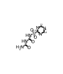 NC(=O)NC(=O)NS(=O)(=O)c1ncncn1